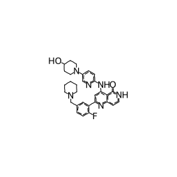 O=c1[nH]ccc2nc(-c3cc(CN4CCCCC4)ccc3F)cc(Nc3ccc(N4CCC(O)CC4)cn3)c12